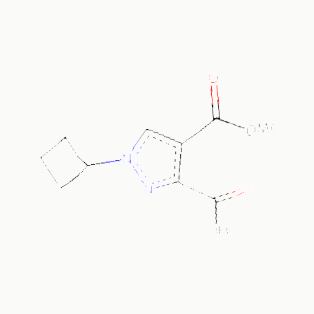 COC(=O)c1cn(C2CCC2)nc1C(=O)C(C)C